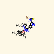 Cc1cccc(-c2c(-c3ccc4ncc(-c5nc(Br)cs5)cc4c3)ncn2COCC[Si](C)(C)C)n1